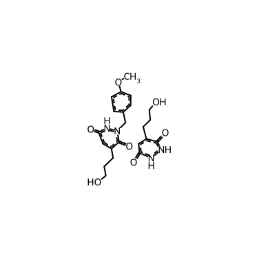 COc1ccc(Cn2[nH]c(=O)cc(CCCO)c2=O)cc1.O=c1cc(CCCO)c(=O)[nH][nH]1